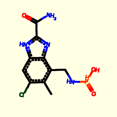 Cc1c(Cl)cc2[nH]c(C(N)=O)nc2c1CN[PH](=O)O